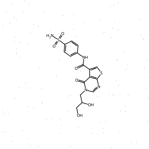 NS(=O)(=O)c1ccc(NC(=O)c2csc3ncn(CC(O)CO)c(=O)c23)cc1